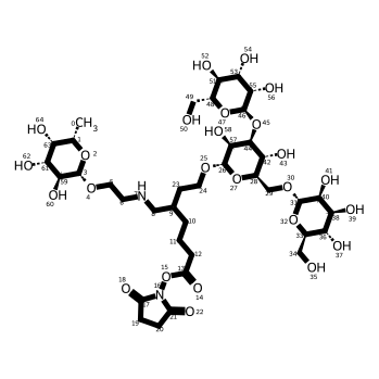 C[C@@H]1O[C@H](OCCNCC(CCCC(=O)ON2C(=O)CCC2=O)CCO[C@H]2O[C@H](CO[C@H]3O[C@H](CO)[C@@H](O)[C@H](O)[C@@H]3O)[C@@H](O)[C@H](O[C@H]3O[C@H](CO)[C@@H](O)[C@H](O)[C@@H]3O)[C@@H]2O)[C@@H](O)[C@H](O)[C@@H]1O